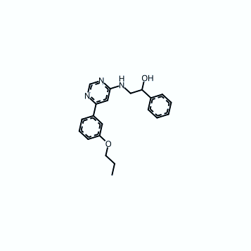 CCCOc1cccc(-c2cc(NCC(O)c3ccccc3)ncn2)c1